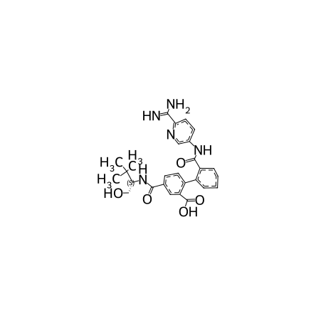 CC(C)(C)[C@@H](CO)NC(=O)c1ccc(-c2ccccc2C(=O)Nc2ccc(C(=N)N)nc2)c(C(=O)O)c1